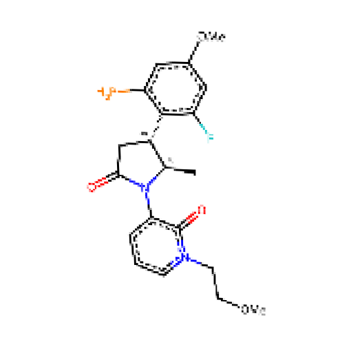 COCCn1cccc(N2C(=O)C[C@H](c3c(F)cc(OC)cc3P)[C@H]2C)c1=O